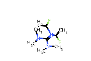 CC(F)[N+](=C(N(C)C)N(C)C)C(C)F